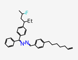 C=CCCCCCc1ccc(C=NN=C(c2ccccc2)c2ccc(C(CC)CC(C)F)cc2)cc1